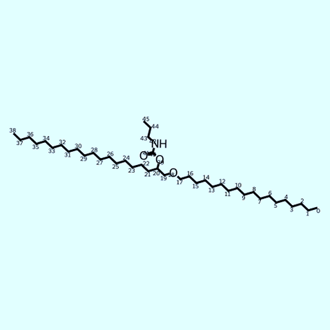 CCCCCCCCCCCCCCCCCCOCC(CCCCCCCCCCCCCCCCCC)OC(=O)NCCC